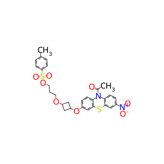 CC(=O)N1c2ccc(OC3CC(OCCCOS(=O)(=O)c4ccc(C)cc4)C3)cc2Sc2cc([N+](=O)[O-])ccc21